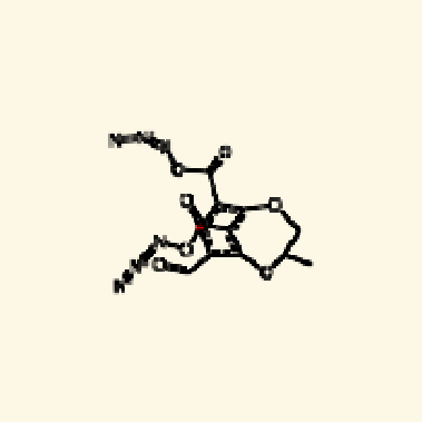 CC1COc2c(C(=O)ON=[N+]=[N-])cc(C=O)c(c2C(=O)ON=[N+]=[N-])O1